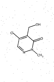 Cn1ncc(Cl)c(CO)c1=O